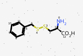 N[C@H](CSSCc1ccccc1)C(=O)O